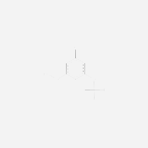 COc1cc(Cl)cc(OC(F)(F)F)c1